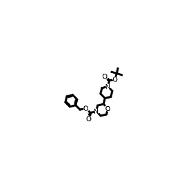 CC(C)(C)OC(=O)N1CCC(C2CN(C(=O)OCc3ccccc3)CCO2)CC1